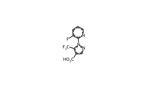 O=C(O)c1cnn(-c2ncccc2F)c1C(F)(F)F